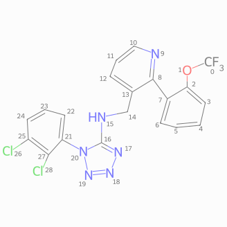 FC(F)(F)Oc1ccccc1-c1ncccc1CNc1nnnn1-c1cccc(Cl)c1Cl